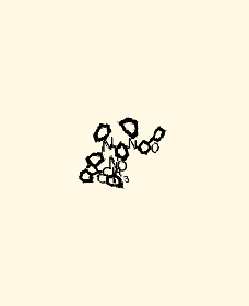 CC1(C)c2ccccc2-c2ccc(N(c3ccccc3)c3cc(N(c4ccccc4)c4ccc5oc6ccccc6c5c4)cc4oc(-c5ccccc5)nc34)cc21